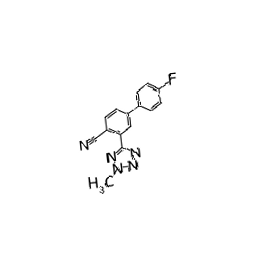 Cn1nnc(-c2cc(-c3ccc(F)cc3)ccc2C#N)n1